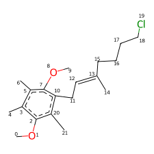 COc1c(C)c(C)c(OC)c(C/C=C(\C)CCCCCl)c1C